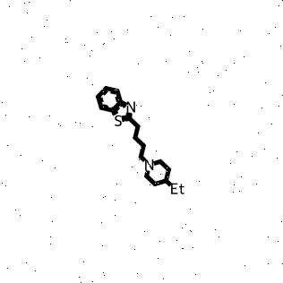 CCC1CCN(CCCCc2nc3ccccc3s2)CC1